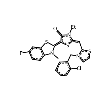 CCn1c(=O)/c(=C2\Sc3cc(F)ccc3N2C)s/c1=C\c1scc[n+]1Cc1ccccc1Cl